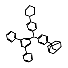 c1ccc(-c2cc(-c3ccccc3)cc(N(c3ccc(C4CCCCC4)cc3)c3ccc(C45CC6CC(CC(C6)C4)C5)cc3)c2)cc1